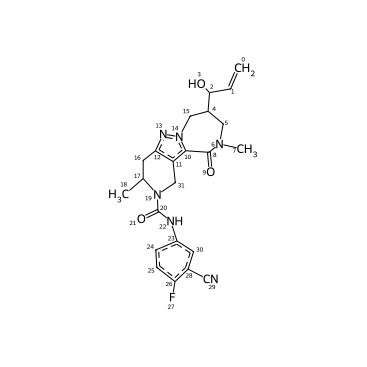 C=CC(O)C1CN(C)C(=O)c2c3c(nn2C1)CC(C)N(C(=O)Nc1ccc(F)c(C#N)c1)C3